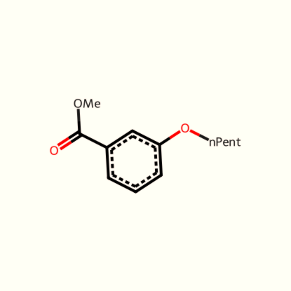 CCCCCOc1cccc(C(=O)OC)c1